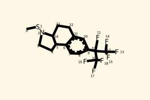 CSN1CCC2c3ccc(C(F)(C(F)(F)F)C(F)(F)F)cc3CCC21